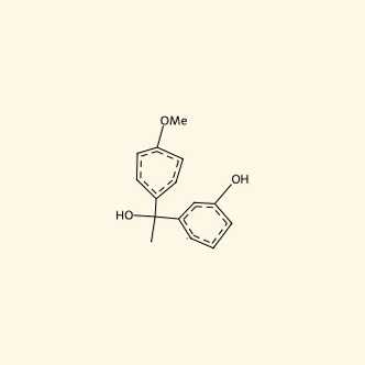 COc1ccc(C(C)(O)c2[c]ccc(O)c2)cc1